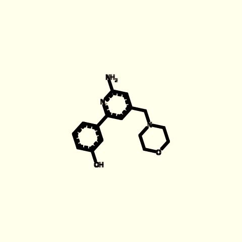 Nc1cc(CN2CCOCC2)cc(-c2cccc(O)c2)n1